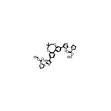 CC1(C)COc2cc(-c3cnc([C@@H]4CCCN4C(=O)OC(C)(C)C)[nH]3)ccc2-c2ccc(-c3cnc([C@@H]4CCCN4C(=O)OC(C)(C)C)[nH]3)cc2OC1